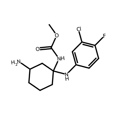 COC(=O)NC1(Nc2ccc(F)c(Cl)c2)CCCC(N)C1